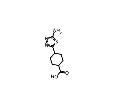 Nc1nnc(C2CCC(C(=O)O)CC2)s1